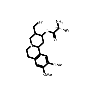 COc1cc2c(cc1OC)C1CC(OC(=O)[C@H](N)C(C)C)C(CC(C)C)CN1CC2